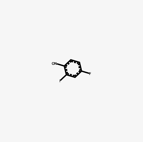 O=Nc1ccc(F)cc1I